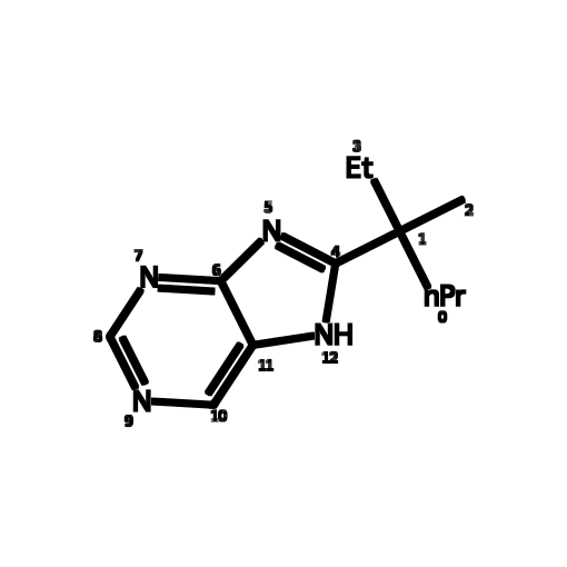 CCCC(C)(CC)c1nc2ncncc2[nH]1